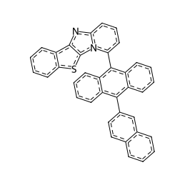 c1ccc2cc(-c3c4ccccc4c(-c4cccc5nc6c7ccccc7sc6n45)c4ccccc34)ccc2c1